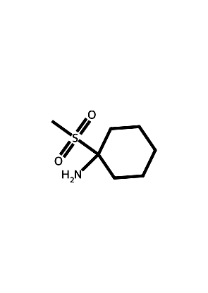 CS(=O)(=O)C1(N)CCCCC1